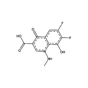 CNn1cc(C(=O)O)c(=O)c2cc(F)c(F)c(O)c21